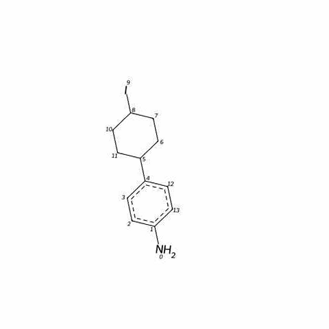 Nc1ccc(C2CCC(I)CC2)cc1